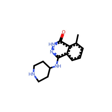 Cc1cccc2c(NC3CCNCC3)n[nH]c(=O)c12